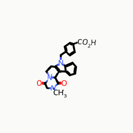 CN1CC(=O)N2CCc3c(c4ccccc4n3Cc3ccc(C(=O)O)cc3)C2C1=O